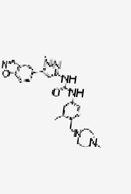 Cc1cc(NC(=O)Nc2cc(-c3ccc4oncc4c3)n(C)n2)ccc1CN1CCN(C)CC1